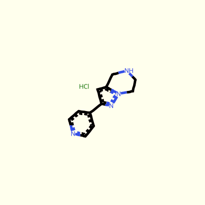 Cl.c1cc(-c2cc3n(n2)CCNC3)ccn1